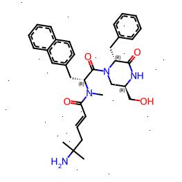 CN(C(=O)C=CCC(C)(C)N)[C@H](Cc1ccc2ccccc2c1)C(=O)N1C[C@H](CO)NC(=O)[C@H]1Cc1ccccc1